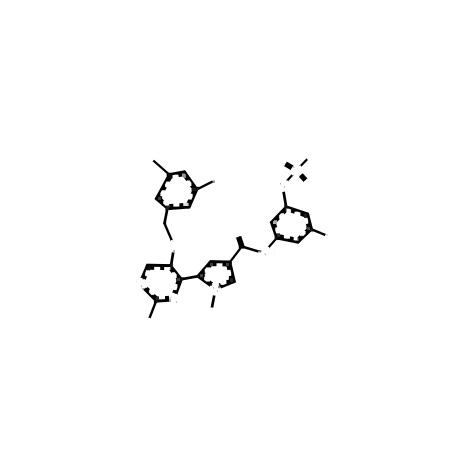 Cc1ncc(OCc2cc(F)cc(F)c2)c(-c2cc(C(=O)Nc3cc(Cl)cc(NS(C)(=O)=O)c3)cn2C)n1